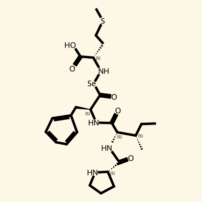 CC[C@H](C)[C@H](NC(=O)[C@@H]1CCCN1)C(=O)N[C@@H](Cc1ccccc1)C(=O)[Se]N[C@@H](CCSC)C(=O)O